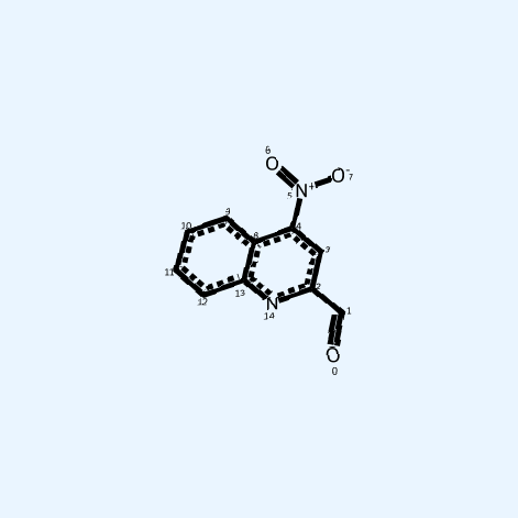 O=Cc1cc([N+](=O)[O-])c2ccccc2n1